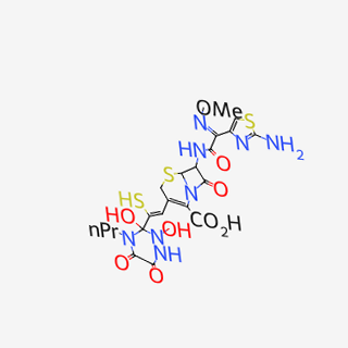 CCCN1C(=O)C(=O)NN(O)C1(O)C(S)=CC1=C(C(=O)O)N2C(=O)C(NC(=O)C(=NOC)c3csc(N)n3)C2SC1